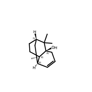 CC1(C)[C@H]2CC[C@]3(C)[C@@H](C=CC[C@@]13O)C2